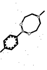 CN1CCOB(c2ccc(C#N)cc2)OCC1